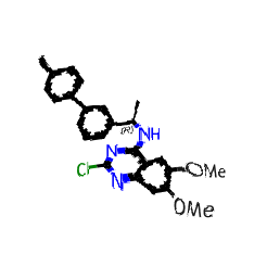 COc1cc2nc(Cl)nc(N[C@H](C)c3cccc(-c4ccc(C)cc4)c3)c2cc1OC